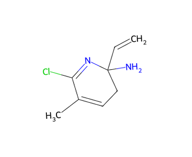 C=CC1(N)CC=C(C)C(Cl)=N1